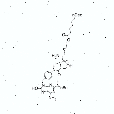 CCCCCCCCCCCCCCCC(=O)OCCSC[C@@H](N)C(=O)N[C@@H](CO)C(=O)Nc1ccc(Cn2c(O)nc3c(N)nc(NCCCC)nc32)cc1